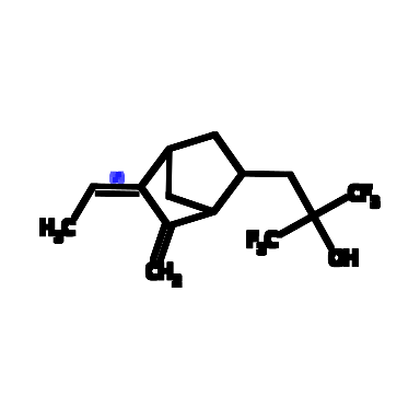 C=C1/C(=C\C)C2CC(CC(O)(C(F)(F)F)C(F)(F)F)C1C2